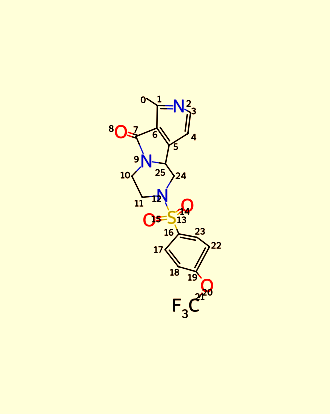 Cc1nccc2c1C(=O)N1CCN(S(=O)(=O)c3ccc(OC(F)(F)F)cc3)CC21